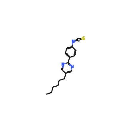 CCCCCCc1cnc(-c2ccc(N=C=S)cc2)nc1